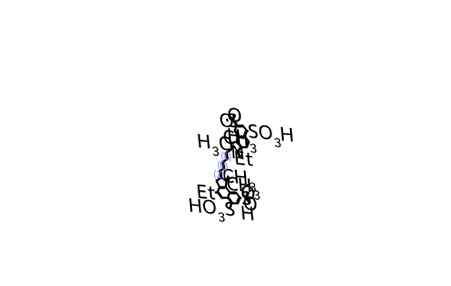 CCc1cc2c(S(=O)(=O)O)cc([SH](=O)=O)cc2c2c1C/C(=C/C=C/C=C/C1N(CC)c3ccc4c(S(=O)(=O)O)cc([SH](=O)=O)cc4c3C1(C)C)C2(C)C